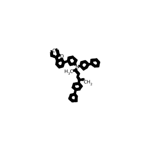 C=C/C(=C\C=C(/C)N(c1ccc(-c2ccccc2)cc1)c1cccc(-c2cccc3c2oc2ccccc23)c1)c1ccc(-c2ccccc2)cc1